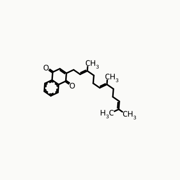 CC(C)=CCC/C(C)=C/CC/C(C)=C/CC1=CC(=O)c2ccccc2C1=O